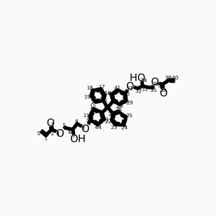 C=CC(=O)OCC(O)COc1ccc(C(c2ccccc2)(c2ccccc2)c2ccc(OCC(O)COC(=O)C=C)cc2)cc1